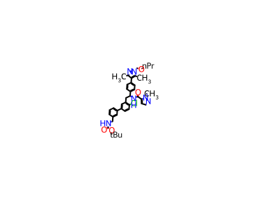 CCCOCn1nc(C)c(-c2ccc(C(Cc3cc(-c4cccc(CNC(=O)OC(C)(C)C)c4)ccc3Cl)NC(=O)c3ccnn3C)cc2)c1C